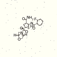 NC(=O)c1cc(S(=O)(=O)N2C[C@@H]3C[C@H]2CO3)sc1NC(=O)c1ccccc1F